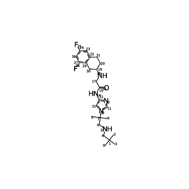 CC(C)(C)CNCC(C)(C)n1cnc(NC(=O)CNC2CCc3cc(F)cc(F)c3C2)c1